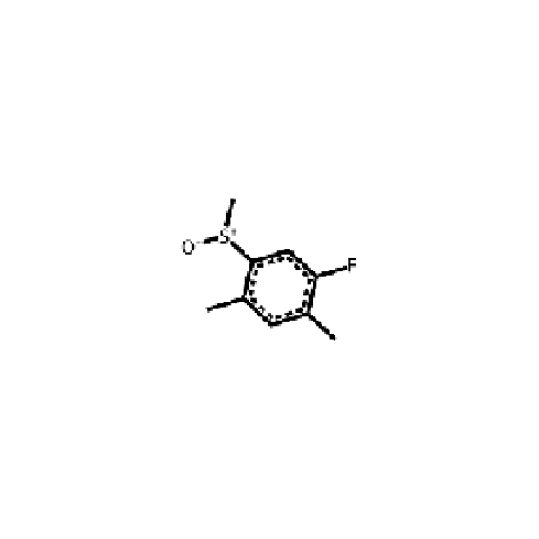 Cc1cc(C)c([S+](C)[O-])cc1F